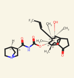 C[C@@H]1CCC23CCC(=O)C2[C@]1(C)[C@H](OC(=O)NC(=O)[C@H]1CN2CC[C@@H]1C2)C[C@@](C)(C=CC(F)(F)F)[C@@H](O)[C@@H]3C